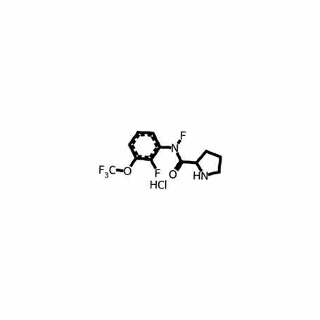 Cl.O=C(C1CCCN1)N(F)c1cccc(OC(F)(F)F)c1F